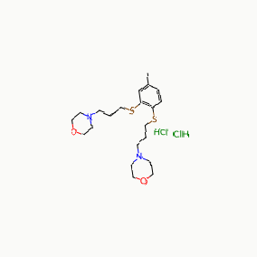 Cc1ccc(SCCCN2CCOCC2)c(SCCCN2CCOCC2)c1.Cl.Cl